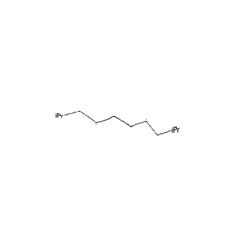 CC(C)C[CH]CC[CH]CC(C)C